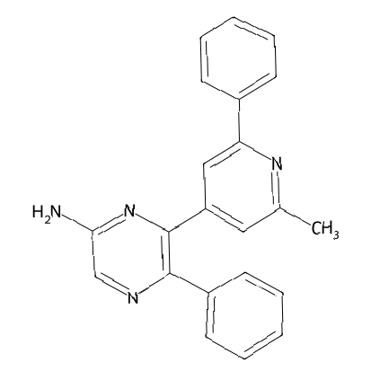 Cc1cc(-c2nc(N)cnc2-c2ccccc2)cc(-c2ccccc2)n1